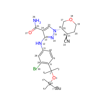 CC(C)(O[Si](C)(C)C(C)(C)C)c1ccc(Nc2nn([C@@H]3COCC[C@H]3C#N)cc2C(N)=O)cc1Br